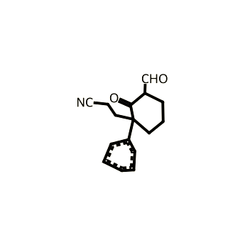 N#CCCC1(c2ccccc2)CCCC(C=O)C1=O